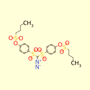 CCCCS(=O)(=O)Oc1ccc(S(=O)(=O)C(=[N+]=[N-])S(=O)(=O)c2ccc(OS(=O)(=O)CCCC)cc2)cc1